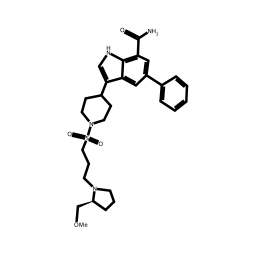 COC[C@@H]1CCCN1CCCS(=O)(=O)N1CCC(c2c[nH]c3c(C(N)=O)cc(-c4ccccc4)cc23)CC1